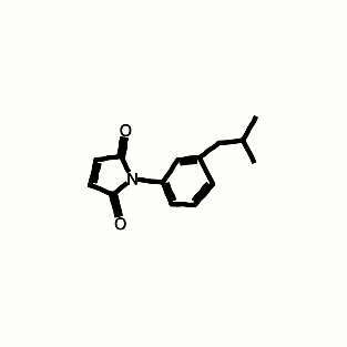 CC(C)Cc1cccc(N2C(=O)C=CC2=O)c1